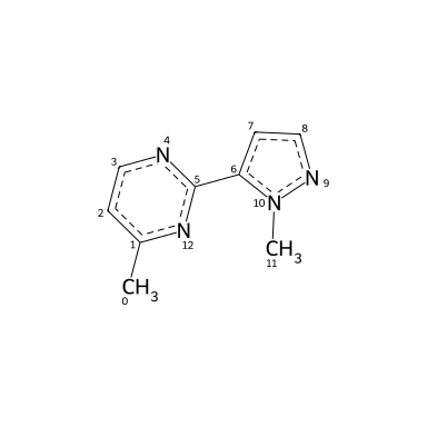 Cc1ccnc(-c2ccnn2C)n1